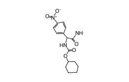 [NH]C(=O)C(NC(=O)OC1CCCCC1)c1ccc([N+](=O)[O-])cc1